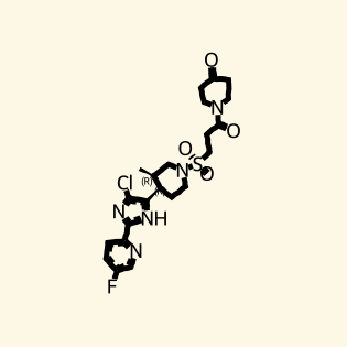 C[C@H]1CN(S(=O)(=O)CCC(=O)N2CCC(=O)CC2)CC[C@H]1c1[nH]c(-c2ccc(F)cn2)nc1Cl